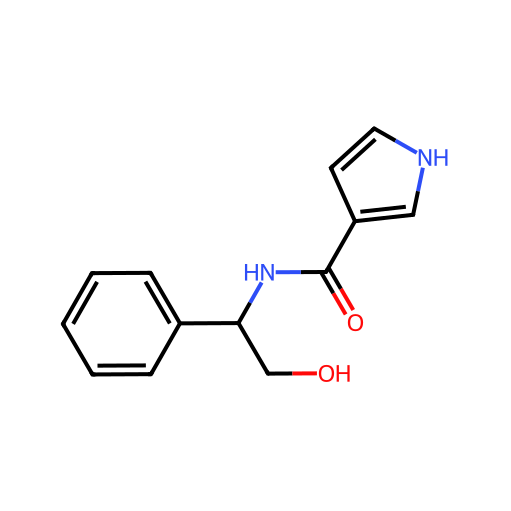 O=C(NC(CO)c1ccccc1)c1cc[nH]c1